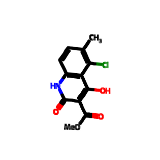 COC(=O)c1c(O)c2c(Cl)c(C)ccc2[nH]c1=O